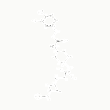 O=C(COc1ccc(Cl)c(F)c1)NC1CCN(CC(F)(F)CO[C@H]2C[C@@H](OC(F)(F)F)C2)CC1